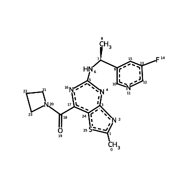 Cc1nc2nc(N[C@@H](C)c3cncc(F)c3)nc(C(=O)N3CCC3)c2s1